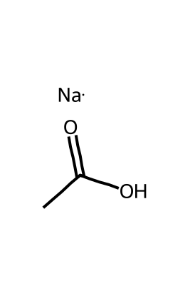 CC(=O)O.[Na]